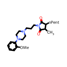 CCCCCC1C(=O)N(CCCN2CCN(c3ccccc3OC)CC2)C(=O)C1C